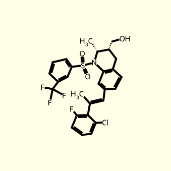 CC(=Cc1ccc2c(c1)N(S(=O)(=O)c1cccc(C(F)(F)F)c1)[C@H](C)[C@H](CO)C2)c1c(F)cccc1Cl